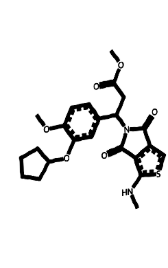 CNc1scc2c1C(=O)N(C(CC(=O)OC)c1ccc(OC)c(OC3CCCC3)c1)C2=O